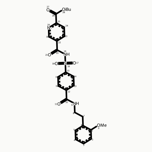 COc1ccccc1CCNC(=O)c1ccc(S(=O)(=O)NC(=O)c2ccc(C(=O)OCC(C)C)nc2)cc1